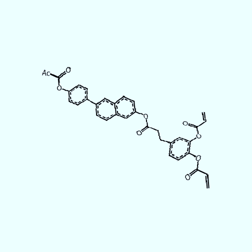 C=CC(=O)Oc1ccc(CCC(=O)Oc2ccc3cc(-c4ccc(OC(=O)C(C)=O)cc4)ccc3c2)cc1OC(=O)C=C